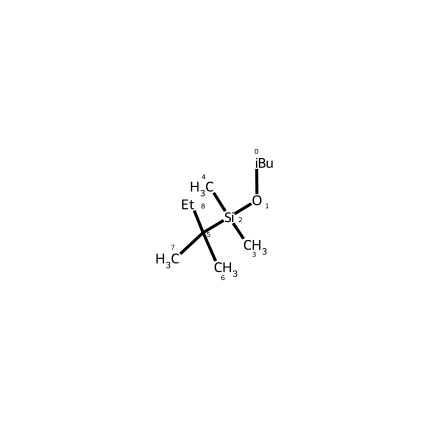 CCC(C)O[Si](C)(C)C(C)(C)CC